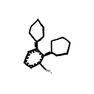 Pc1cccc(=C2CCCCC2)c1=C1CCCCC1